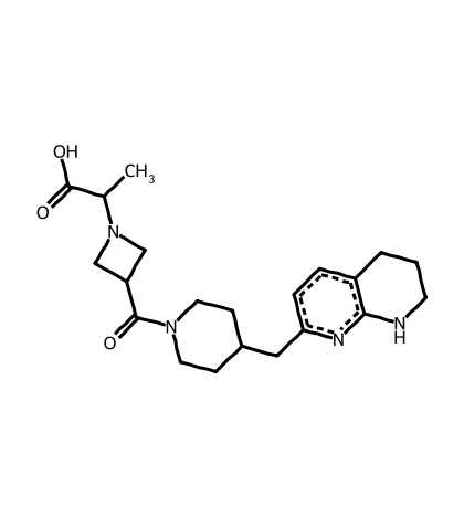 CC(C(=O)O)N1CC(C(=O)N2CCC(Cc3ccc4c(n3)NCCC4)CC2)C1